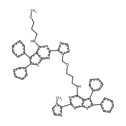 COCCCNc1nc(-c2nccn2COCCCNc2nc(-c3nccn3C)nc3sc(-c4ccccc4)c(-c4ccccc4)c23)nc2sc(-c3ccccc3)c(-c3ccccc3)c12